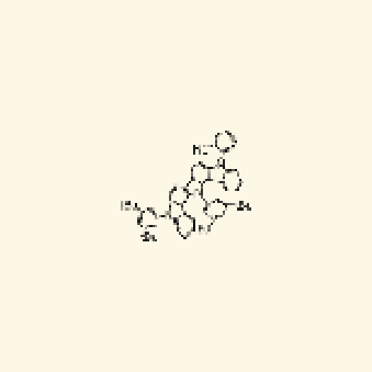 CC(C)(C)c1cc(-n2c3ccccc3c3c2ccc2c4ccc5c(c6ccccc6n5-c5ccccc5C#N)c4n(-c4cc(C(C)(C)C)cc(C(C)(C)C)c4)c23)cc(C(C)(C)C)c1